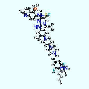 C=CCC[C@@H](C(=C)NC)c1c(F)cc(CCN2CCN(C3CCN(c4cc(CC5CC5)c(Nc5ncc(SF)c(Nc6ccc7nc(C)ccc7c6P(=C)(C)C)n5)cc4CC)CC3)CC2)cc1F